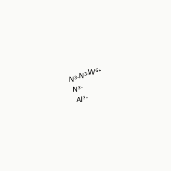 [Al+3].[N-3].[N-3].[N-3].[W+6]